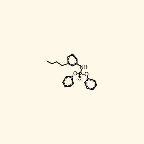 CCCCc1cccc(NP(=O)(Oc2ccccc2)Oc2ccccc2)c1